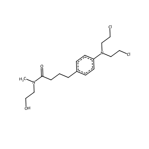 CN(CCO)C(=O)CCCc1ccc(N(CCCl)CCCl)cc1